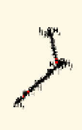 CCCOCCOCCC(=O)NCCOCCOCCC(=O)NCCOCCOCCC(=O)NCCCC[C@H](NC(=O)CCCCCCCCCCCCCCCCC(=O)OC(C)(C)C)C(=O)OC(C)(C)C